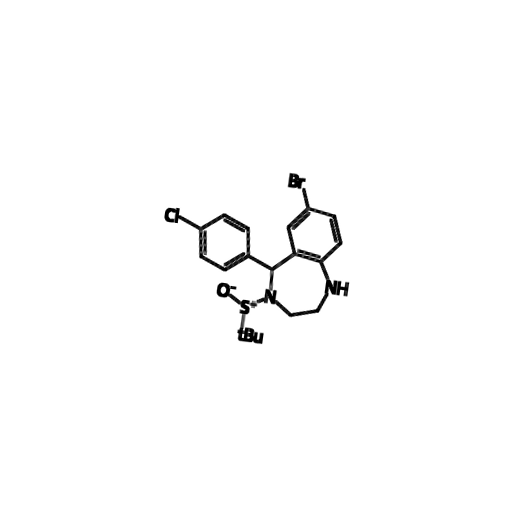 CC(C)(C)[S+]([O-])N1CCNc2ccc(Br)cc2C1c1ccc(Cl)cc1